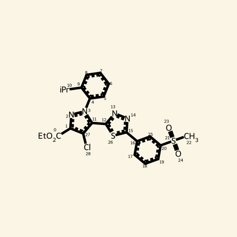 CCOC(=O)c1nn(-c2ccccc2C(C)C)c(-c2nnc(-c3cccc(S(C)(=O)=O)c3)s2)c1Cl